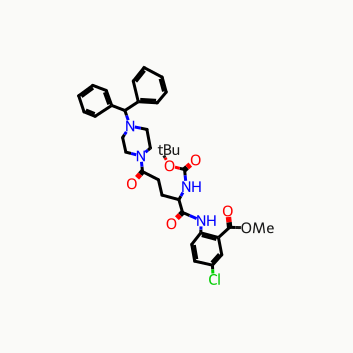 COC(=O)c1cc(Cl)ccc1NC(=O)C(CCC(=O)N1CCN(C(c2ccccc2)c2ccccc2)CC1)NC(=O)OC(C)(C)C